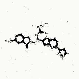 COc1ccc2c(c1)C(=O)N(C[C@H](NC(=O)NC=O)c1cc3nc(-c4cc[nH]n4)ccc3o1)C2